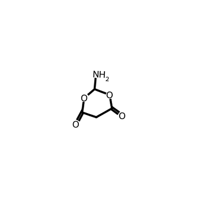 NC1OC(=O)CC(=O)O1